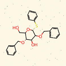 OCC1O[C@H](Sc2ccccc2)C(OCc2ccccc2)[C@@H](O)[C@@H]1OCc1ccccc1